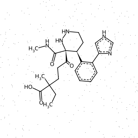 CCC(C)(CCC(=O)[C@@]1(C(=O)NC)NNCC[C@H]1c1ccccc1-c1c[nH]cn1)C(=O)O